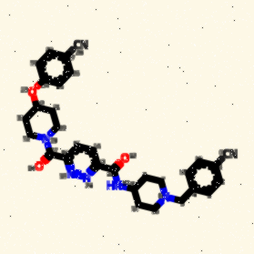 N#Cc1ccc(CN2CCC(NC(=O)c3ccc(C(=O)N4CCC(Oc5ccc(C#N)cc5)CC4)nn3)CC2)cc1